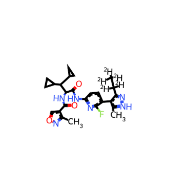 [2H]C([2H])([2H])C([2H])([2H])c1n[nH]c(C)c1-c1ccc(NC(=O)C(NC(=O)c2conc2C)C(C2CC2)C2CC2)nc1F